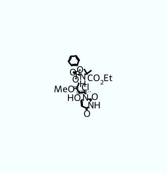 CCOC(=O)C(C)(C)NP(=O)(OC[C@@H](OC)[C@@H](O)[C@@](C)(Cl)n1ccc(=O)[nH]c1=O)Oc1ccccc1